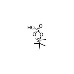 CC(C)(C)[Si](C)(C)OS(=O)(=O)O